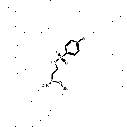 CC(C)(C)ON(C=O)CCNS(=O)(=O)c1ccc(Br)cc1